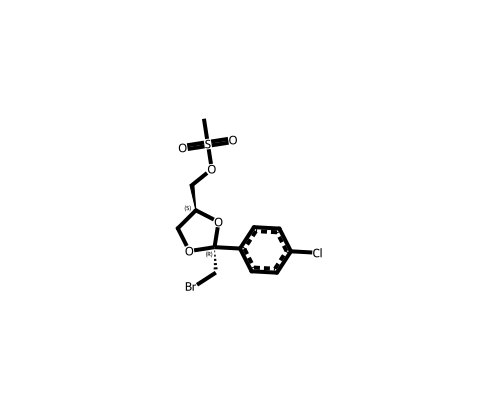 CS(=O)(=O)OC[C@@H]1CO[C@](CBr)(c2ccc(Cl)cc2)O1